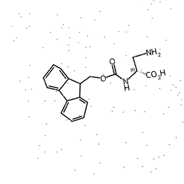 NC[C@@H](NC(=O)OCC1c2ccccc2-c2ccccc21)C(=O)O